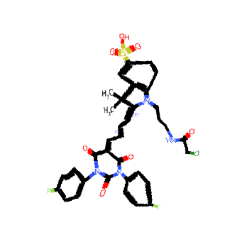 CC1(C)/C(=C\C=C\C=C2C(=O)N(c3ccc(F)cc3)C(=O)N(c3ccc(F)cc3)C2=O)N(CCCNC(=O)CCl)c2ccc(S(=O)(=O)O)cc21